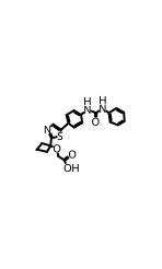 O=C(O)COC1(c2ncc(-c3ccc(NC(=O)Nc4ccccc4)cc3)s2)CCC1